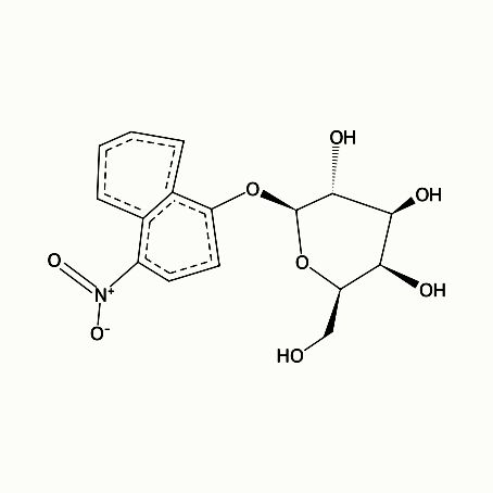 O=[N+]([O-])c1ccc(O[C@@H]2O[C@H](CO)[C@H](O)[C@H](O)[C@H]2O)c2ccccc12